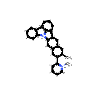 Cc1cc2cc3c4cccc5c6ccccc6n(c3cc2cc1-c1cccc[n+]1C)c54